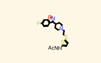 CC(=O)Nc1ccc(SCCN2CCC(c3noc4cc(F)ccc34)CC2)s1